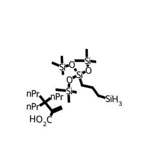 C=C(C(=O)O)C(CCC)(CCC)CCC.C[Si](C)(C)O[Si](CCC[SiH3])(O[Si](C)(C)C)O[Si](C)(C)C